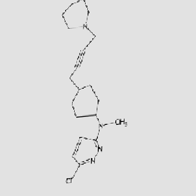 CN(c1ccc(Cl)nn1)C1CCC(CC#CCN2CCCCC2)CC1